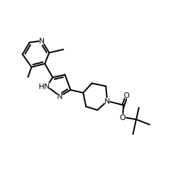 Cc1ccnc(C)c1-c1cc(C2CCN(C(=O)OC(C)(C)C)CC2)n[nH]1